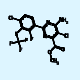 COC(=O)c1nc(-c2ccc(Cl)c(SC(F)(F)F)c2F)nc(N)c1Cl